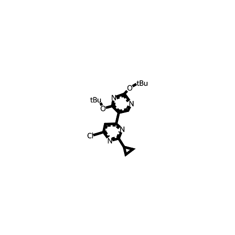 CC(C)(C)Oc1ncc(-c2cc(Cl)nc(C3CC3)n2)c(OC(C)(C)C)n1